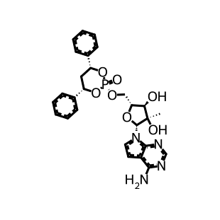 C[C@@]1(O)[C@H](O)[C@@H](COP2(=O)O[C@H](c3ccccc3)C[C@H](c3ccccc3)O2)O[C@H]1n1ccc2c(N)ncnc21